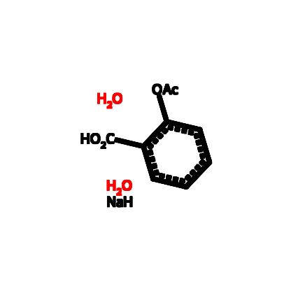 CC(=O)Oc1ccccc1C(=O)O.O.O.[NaH]